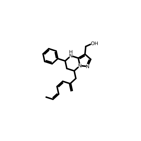 C=C(/C=C\C=C/C)CC1CC(c2ccccc2)Nc2c(CO)cnn21